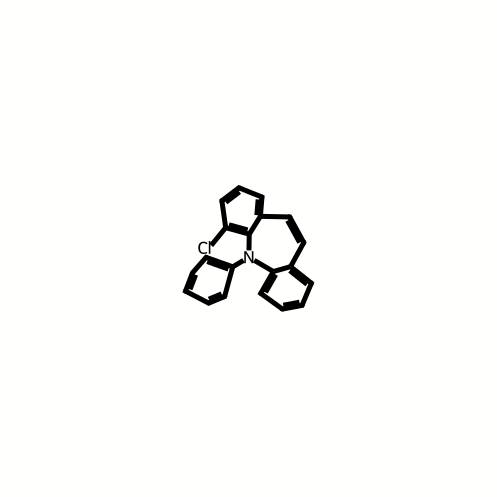 Clc1cccc2c1N(c1ccccc1)c1ccccc1C=C2